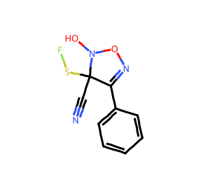 N#CC1(SF)C(c2ccccc2)=NON1O